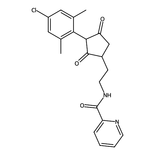 Cc1cc(Cl)cc(C)c1C1C(=O)CC(CCNC(=O)c2ccccn2)C1=O